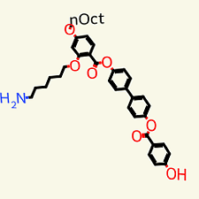 CCCCCCCCOc1ccc(C(=O)Oc2ccc(-c3ccc(OC(=O)c4ccc(O)cc4)cc3)cc2)c(OCCCCCCN)c1